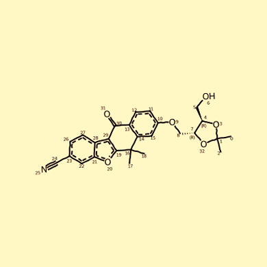 CC1(C)O[C@H](CO)[C@@H](COc2ccc3c(c2)C(C)(C)c2oc4cc(C#N)ccc4c2C3=O)O1